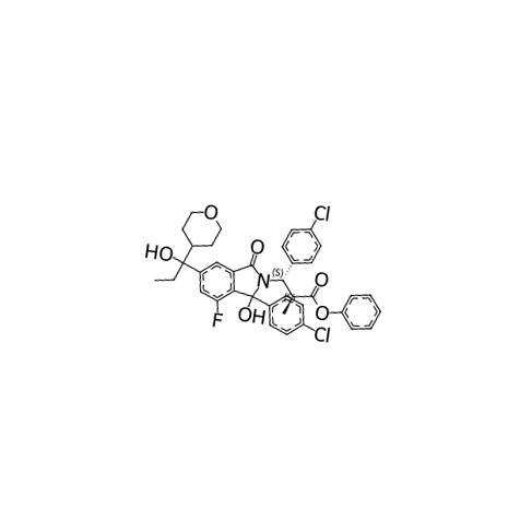 CCC(O)(c1cc(F)c2c(c1)C(=O)N([C@H](c1ccc(Cl)cc1)[C@H](C)C(=O)Oc1ccccc1)C2(O)c1ccc(Cl)cc1)C1CCOCC1